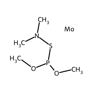 COP(OC)SN(C)C.[Mo]